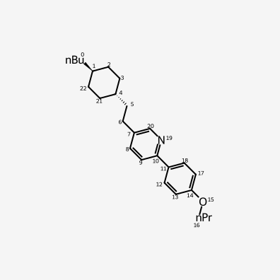 CCCC[C@H]1CC[C@H](CCc2ccc(-c3ccc(OCCC)cc3)nc2)CC1